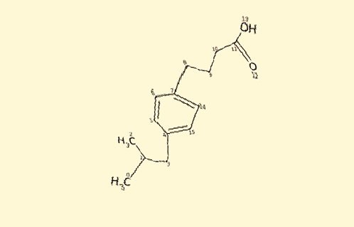 CC(C)Cc1ccc(CCCC(=O)O)cc1